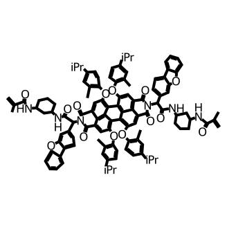 C=C(C)C(=O)NC1CCCC(NC(=O)C(c2ccc3c(c2)oc2ccccc23)N2C(=O)c3cc(Oc4ccc(C(C)C)cc4C)c4c5c(Oc6ccc(C(C)C)cc6C)cc6c7c(cc(Oc8ccc(C(C)C)cc8C)c(c8c(Oc9ccc(C(C)C)cc9C)cc(c3c48)C2=O)c75)C(=O)N(C(C(=O)NC2CCCC(NC(=O)C(=C)C)C2)c2ccc3c(c2)oc2ccccc23)C6=O)C1